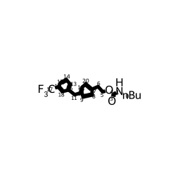 CCCCNC(=O)OCCc1ccc(Cc2cccc(C(F)(F)F)c2)cc1